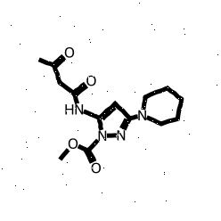 COC(=O)n1nc(N2CCCCC2)cc1NC(=O)CC(C)=O